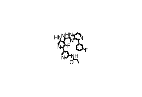 CCC(=O)Nc1cncc(-c2ncc3[nH]nc(-c4nc5c(-c6cccc(F)c6)nccc5[nH]4)c3c2F)c1